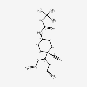 C=CCN(CC=C)[C@]1(C#N)CC[C@@H](NC(=O)OC(C)(C)C)CC1